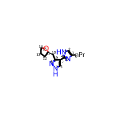 CCCc1c[nH]c(-c2c[nH]nc2C[C@H]2CCCO2)n1